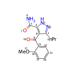 CCCc1n[nH]c(C(N)=O)c1C(=O)c1ccccc1OC